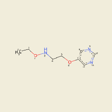 CCONCCOc1cncnc1